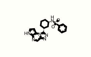 O=S(=O)(N[C@H]1CCC[C@@H](c2nnc3cnc4[nH]ccc4n23)C1)c1ccccc1